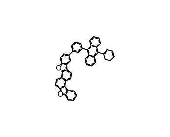 C1=CCCC(c2c3ccccc3c(-c3cccc(-c4ccc5oc6c(ccc7c6ccc6oc8ccccc8c67)c5c4)c3)c3ccccc23)=C1